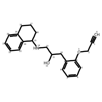 C#CCOc1ccccc1CC(O)CNC1CCCc2ccccc21